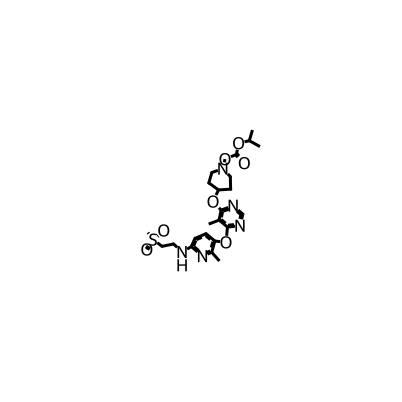 Cc1nc(NCCS(C)(=O)=O)ccc1Oc1ncnc(OC2CCN(OC(=O)OC(C)C)CC2)c1C